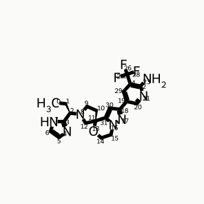 CC[C@H](c1ncc[nH]1)N1CC[C@]2(C1)OCCn1nc(-c3cnc(N)c(C(F)(F)F)c3)cc12